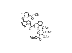 COC(=O)[C@H]1O[C@@H](Oc2ccccc2CN(C)C(=O)n2ccc3c(N(C)[C@H]4CN(C(=O)CC#N)CC[C@H]4C)ncnc32)[C@H](OC(C)=O)[C@@H](OC(C)=O)[C@@H]1OC(C)=O